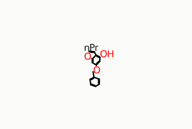 CCCc1coc2cc(OCc3ccccc3)cc(O)c12